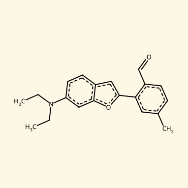 CCN(CC)c1ccc2cc(-c3cc(C)ccc3C=O)oc2c1